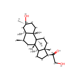 C[C@@H]1C[C@@H]2[C@H](CC[C@]3(C)[C@@H](C(=O)CO)CC[C@@H]23)[C@H]2CC[C@](C)(O)C[C@@H]21